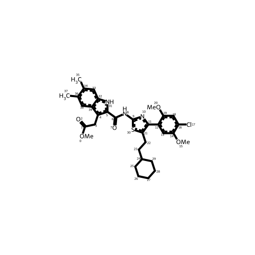 COC(=O)Cc1c(C(=O)Nc2nc(-c3cc(OC)c(Cl)cc3OC)c(CCC3CCCCC3)s2)[nH]c2cc(C)c(C)cc12